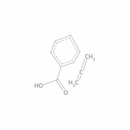 C=C=C.O=C(O)c1ccccc1